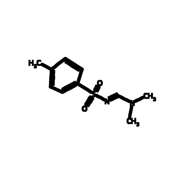 Cc1ccc(S(=O)(=O)N=CN(C)C)cc1